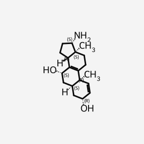 C[C@]12CCC3=C([C@@H](O)C[C@@H]4C[C@@H](O)C=C[C@]34C)[C@@H]1CC[C@@H]2N